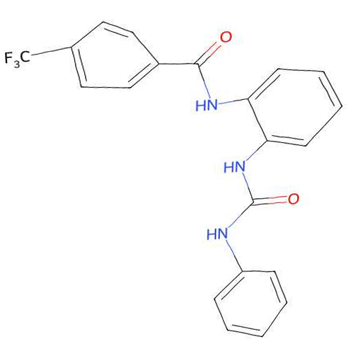 O=C(Nc1ccccc1)Nc1ccccc1NC(=O)c1ccc(C(F)(F)F)cc1